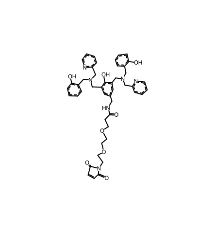 O=C(CCOCCOCCN1C(=O)C=CC1=O)NCc1cc(CN(Cc2ccccn2)Cc2ccccc2O)c(O)c(CN(Cc2ccccn2)Cc2ccccc2O)c1